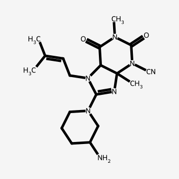 CC(C)=CCN1C(N2CCCC(N)C2)=NC2(C)C1C(=O)N(C)C(=O)N2C#N